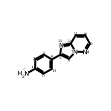 Nc1ccc(-c2cn3ncccc3n2)cc1